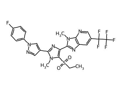 CCS(=O)(=O)c1c(-c2nc3cc(C(F)(F)C(F)(F)F)cnc3n2C)nc(-c2cnn(-c3ccc(F)cc3)c2)n1C